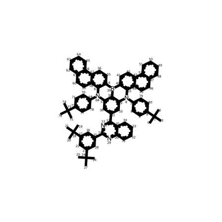 CC(C)(C)c1ccc(N2c3cc(-c4nc(-c5cc(C(C)(C)C)cc(C(C)(C)C)c5)nc5ccccc45)cc4c3B(c3ccc5c(ccc6ccccc65)c32)c2ccc3c(ccc5ccccc53)c2N4c2ccc(C(C)(C)C)cc2)cc1